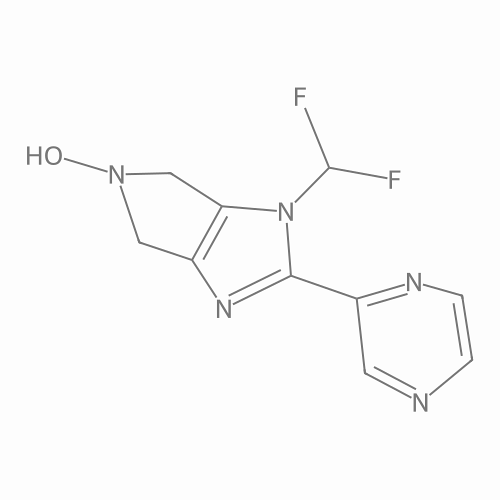 ON1Cc2nc(-c3cnccn3)n(C(F)F)c2C1